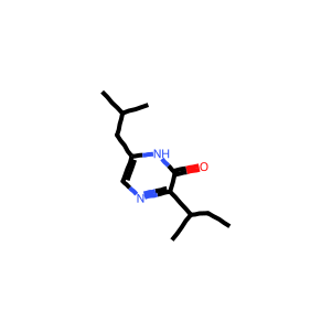 CCC(C)c1ncc(CC(C)C)[nH]c1=O